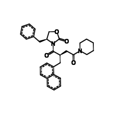 O=C(C[C@@H](Cc1cccc2ccccc12)C(=O)N1C(=O)OC[C@@H]1Cc1ccccc1)N1CCCCC1